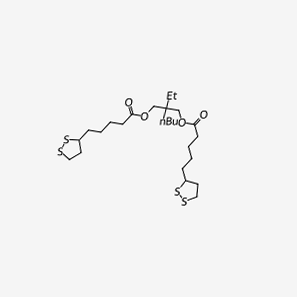 CCCCC(CC)(COC(=O)CCCCC1CCSS1)COC(=O)CCCCC1CCSS1